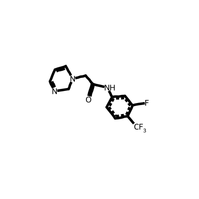 O=C(CN1C=CC=NC1)Nc1ccc(C(F)(F)F)c(F)c1